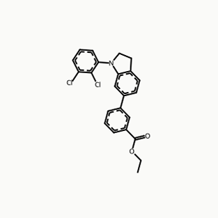 CCOC(=O)c1cccc(-c2ccc3c(c2)N(c2cccc(Cl)c2Cl)CC3)c1